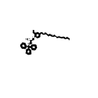 CCCCCCCCCCCCCCc1ccc(OCC(O)COC(c2ccccc2)(c2ccccc2)c2ccccc2)c(CC)c1